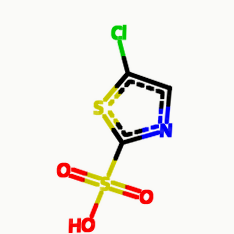 O=S(=O)(O)c1ncc(Cl)s1